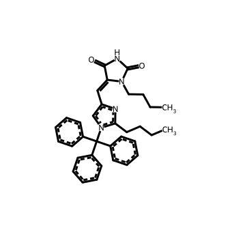 CCCCc1nc(/C=C2/C(=O)NC(=O)N2CCCC)cn1C(c1ccccc1)(c1ccccc1)c1ccccc1